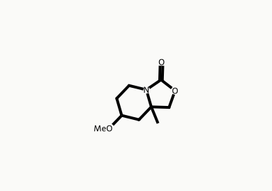 COC1CCN2C(=O)OCC2(C)C1